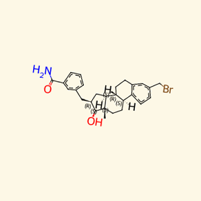 C[C@]12CC[C@@H]3c4ccc(CBr)cc4CC[C@H]3[C@@H]1C[C@H](Cc1cccc(C(N)=O)c1)[C@@H]2O